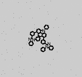 c1ccc(-n2c(-c3cccc(-c4ccc5c6c4ccc4c(-c7cccc(-c8nc9ccccc9n8-c8ccccc8)c7)ccc(c46)n5-c4ccccc4)c3)nc3ccccc32)cc1